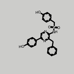 O=S(=O)(Cc1ccc(O)cc1)Nc1ncc(-c2ccc(O)cc2)nc1Cc1ccccc1